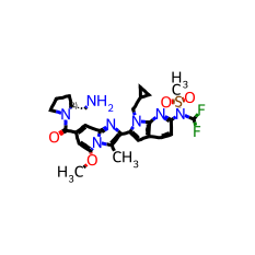 COc1cc(C(=O)N2CCC[C@@H]2CN)cc2nc(-c3cc4ccc(N(C(F)F)S(C)(=O)=O)nc4n3CC3CC3)c(C)n12